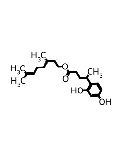 CC(C)=CCC[C@@H](C)CCOC(=O)CCC(C)c1ccc(O)cc1O